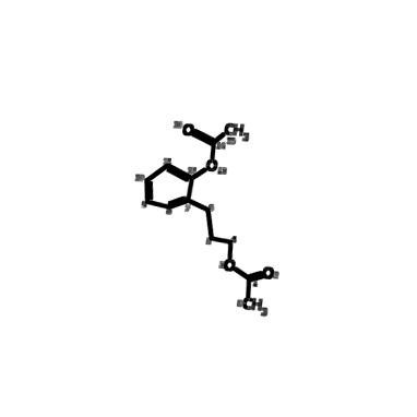 CC(=O)OCCCc1ccccc1OC(C)=O